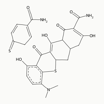 CN(C)c1ccc(O)c2c1SC1CC3CC(O)=C(C(N)=O)C(=O)C3C(O)=C1C2=O.NC(=O)C1=CCC(=S)C=C1